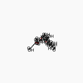 CC(=O)C(=O)O.CC(C)(C)C(=O)O.Cc1ccc(S(=O)(=O)O)cc1.N[C@@H](CO)C(=O)Oc1ccccc1C(=O)O.O=C(O)CCCCCCCCC(=O)Oc1c([N+](=O)[O-])cc([N+](=O)[O-])cc1[N+](=O)[O-].O=C(O)[C@@H]1CCCN1.O=C1CC[C@@H](C(=O)O)N1